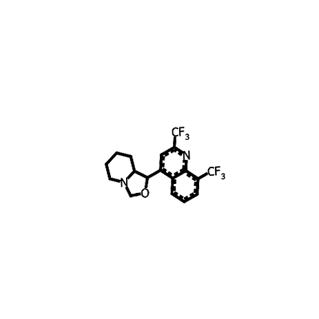 FC(F)(F)c1cc(C2OCN3CCCCC23)c2cccc(C(F)(F)F)c2n1